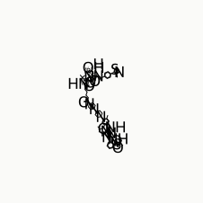 Cc1cc(Nc2ncnc(Nc3ccccc3S(=O)(=O)C(C)C)n2)c(OC(C)C)cc1N1CCC(N2CCN(C(=O)CCCCC(=O)N[C@H](C(=O)N3C[C@H](O)C[C@H]3C(=O)NCc3ccc(-c4scnc4C)cc3)C(C)(C)C)CC2)CC1